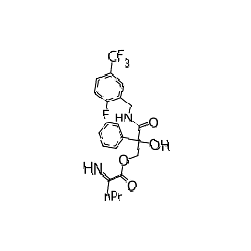 CCCC(=N)C(=O)OCC(O)(C(=O)NCc1cc(C(F)(F)F)ccc1F)c1ccccc1